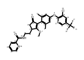 COC1=C(c2c(C)cc(Oc3ncc(C(F)(F)F)cc3Cl)cc2C)C(=O)CC1CCNC(=O)c1ccccn1